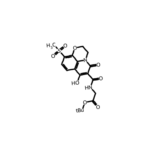 CC(C)(C)OC(=O)CNC(=O)c1c(O)c2ccc(S(C)(=O)=O)c3c2n(c1=O)CCO3